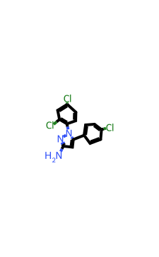 Nc1cc(-c2ccc(Cl)cc2)n(-c2ccc(Cl)cc2Cl)n1